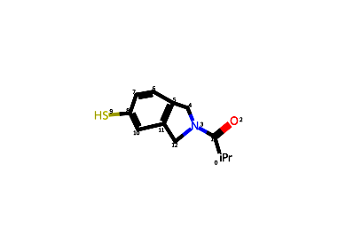 CC(C)C(=O)N1Cc2ccc(S)cc2C1